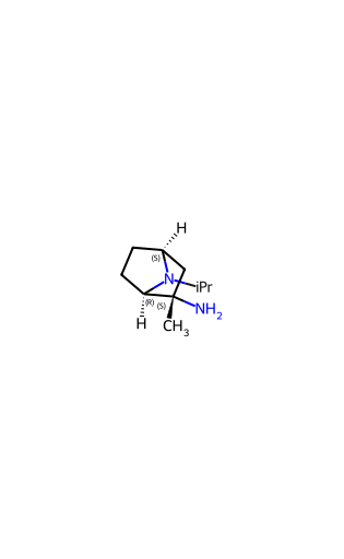 CC(C)N1[C@H]2CC[C@@H]1[C@@](C)(N)C2